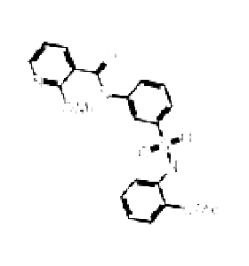 COc1ccccc1NS(=O)(=O)c1cccc(NC(=O)c2cccnc2OC)c1